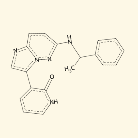 CC(Nc1ccc2ncc(-c3ccc[nH]c3=O)n2n1)c1ccccc1